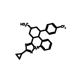 O=C(O)N1CC(c2ccc(C(F)(F)F)cc2)C(c2ccccc2[N+](=O)[O-])C(c2nc(C3CC3)no2)C1